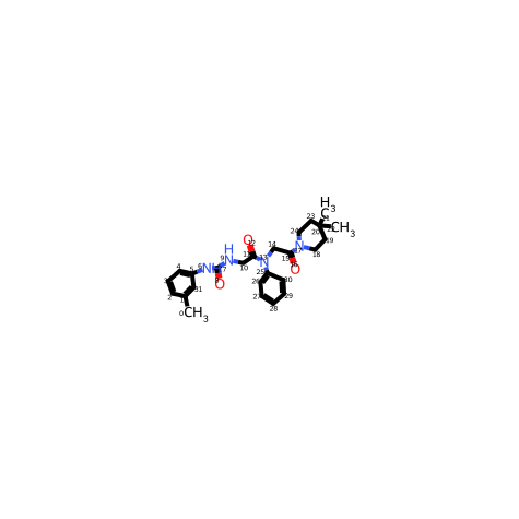 Cc1cccc(NC(=O)NCC(=O)N(CC(=O)N2CCC(C)(C)CC2)c2ccccc2)c1